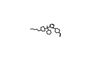 C=CC1CCC(c2cccc(C(C)(C3CCCCC3)C3CCC(CCCCC)CC3)c2)CC1